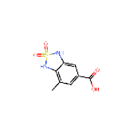 Cc1cc(C(=O)O)cc2c1NS(=O)(=O)N2